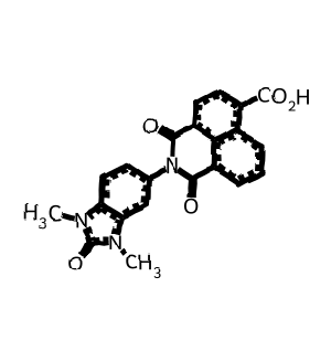 Cn1c(=O)n(C)c2cc(N3C(=O)c4cccc5c(C(=O)O)ccc(c45)C3=O)ccc21